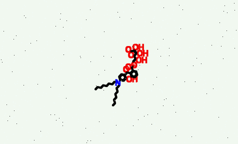 CCCCCCCCN(CCCCCCCC)c1ccc(C(=O)c2ccccc2C(=O)OCC(O)C2OC(=O)C(O)=C2O)c(O)c1